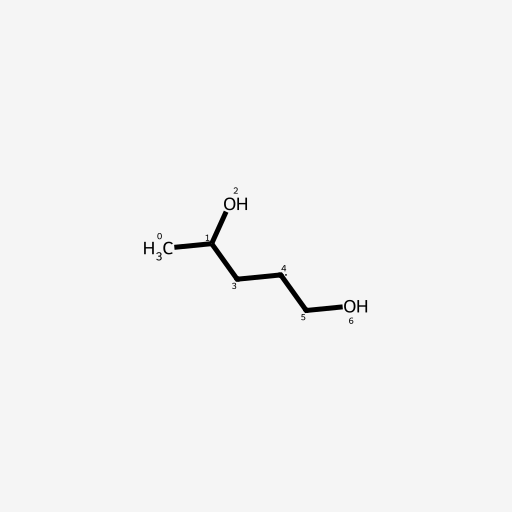 CC(O)C[CH]CO